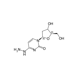 NNc1ccn([C@H]2CC(O)[C@@H](CO)O2)c(=O)n1